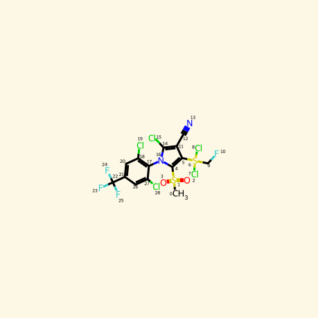 CS(=O)(=O)c1c(S(Cl)(Cl)CF)c(C#N)c(Cl)n1-c1c(Cl)cc(C(F)(F)F)cc1Cl